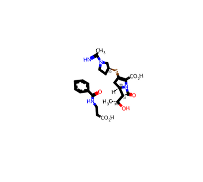 CC(=N)N1CC[C@H](SC2=C(C(=O)O)N3C(=O)[C@H]([C@@H](C)O)[C@H]3C2)C1.O=C(O)CCNC(=O)c1ccccc1